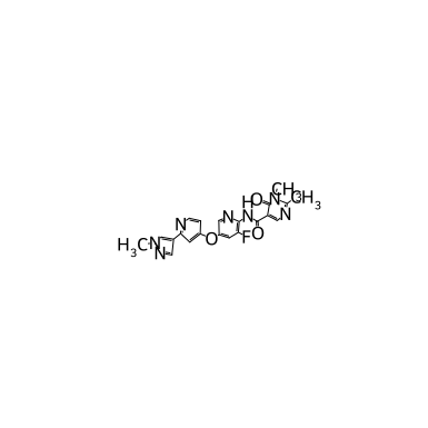 Cc1ncc(C(=O)Nc2ncc(Oc3ccnc(-c4cnn(C)c4)c3)cc2F)c(=O)n1C